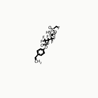 C=Cc1ccc(OS(=O)(=O)C(F)(F)C(F)(F)C(F)(F)S(=O)(=O)NS(=O)(=O)CF)cc1